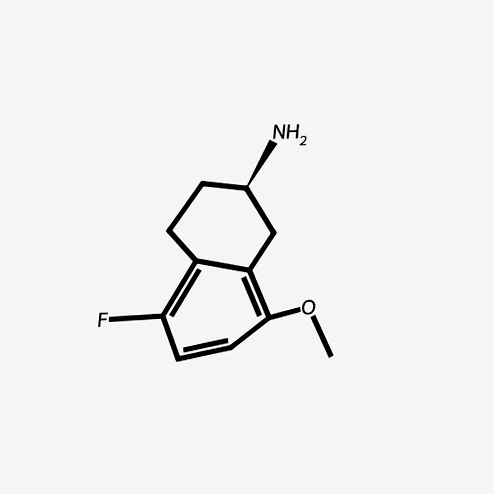 COc1ccc(F)c2c1C[C@H](N)CC2